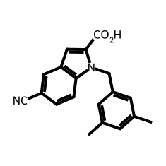 Cc1cc(C)cc(Cn2c(C(=O)O)cc3cc(C#N)ccc32)c1